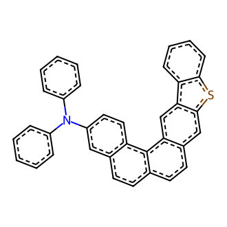 c1ccc(N(c2ccccc2)c2ccc3c(ccc4ccc5cc6sc7ccccc7c6cc5c43)c2)cc1